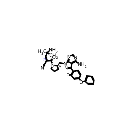 CC(C)(N)/C=C(/C#N)C(=O)N1CCC[C@@H]1Cn1nc(-c2ccc(Oc3ccccc3)cc2F)c2c(N)ncnc21